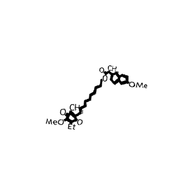 CCC1=C(OC)C(=O)C(C)=C(CCCCCCCCCCOC(=O)C(C)c2ccc3cc(OC)ccc3c2)C1=O